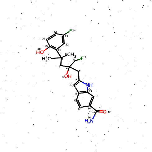 CC(C)(CC(O)(CF)Cc1cc2ccc(C(N)=O)cc2[nH]1)c1cc(F)ccc1O